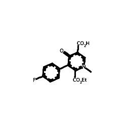 CCOC(=O)c1c(-c2ccc(F)cc2)c(=O)c(C(=O)O)cn1C